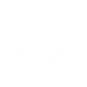 CC(C)Oc1ccc(C(=N)N(C)O)cc1C#N